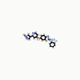 C[C@@H]1CCCC[C@H]1Nc1nc2ccc(Oc3ccnc(-c4cnn(C)c4)c3)cc2s1